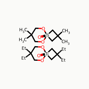 CC1(C)C[O][Ti]2(=[O])([CH2]C(C)(C)[CH2]2)[O]C1.CCC1(CC)C[O][Ti]2(=[O])([CH2]C(CC)(CC)[CH2]2)[O]C1